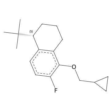 CC(C)(C)[C@@H]1CCCc2c1ccc(F)c2OCC1CC1